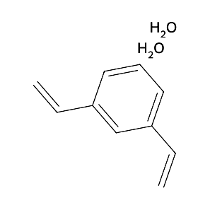 C=Cc1cccc(C=C)c1.O.O